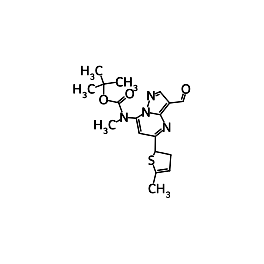 CC1=CCC(c2cc(N(C)C(=O)OC(C)(C)C)n3ncc(C=O)c3n2)S1